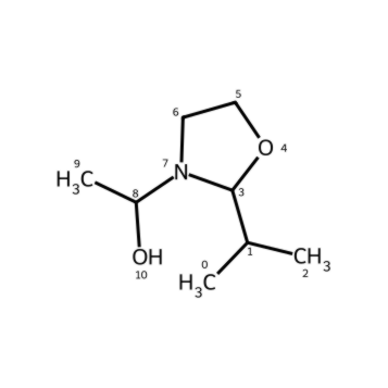 CC(C)C1OCCN1C(C)O